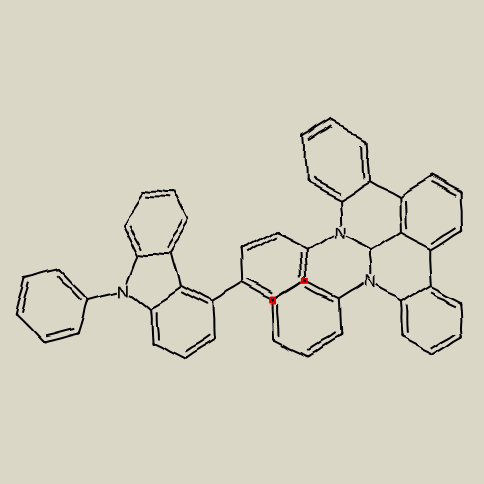 c1ccc(N2c3ccccc3-c3cccc4c3C2N(c2ccc(-c3cccc5c3c3ccccc3n5-c3ccccc3)cc2)c2ccccc2-4)cc1